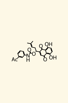 CC(=O)c1cccc(NC(=O)OC(CC=C(C)C)C2=CC(=O)c3c(O)ccc(O)c3C2=O)c1